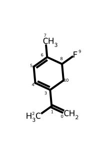 C=C(C)C1=CC=C(C)C(F)C1